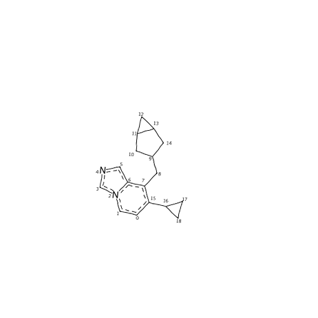 c1cn2cncc2c(CC2CC3CC3C2)c1C1CC1